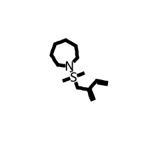 C=CC(=C)CS(C)(C)N1CCCCCC1